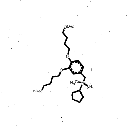 CCCCCCCCCCCCCCOc1ccc(C[N+](C)(C)C2CCCC2)cc1OCCCCCCCCCCCCCC.[I-]